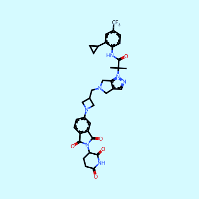 CC(C)(C(=O)Nc1ccc(C(F)(F)F)cc1C1CC1)n1ncc2c1CN(CC1CN(c3ccc4c(c3)C(=O)N(C3CCC(=O)NC3=O)C4=O)C1)C2